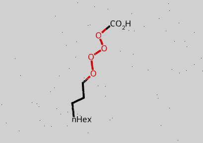 CCCCCCCCCOOOOC(=O)O